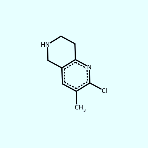 Cc1cc2c(nc1Cl)CCNC2